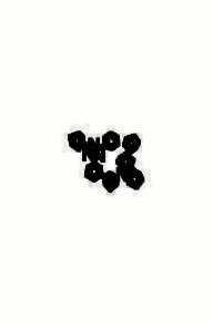 C1=CCCC(c2nc(-c3ccccc3)nc(-c3cccc(-c4cccc(-n5c6ccccc6c6cc(-c7ccccc7)ccc65)c4)c3)n2)=C1